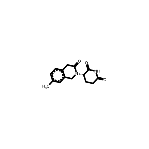 Cc1ccc2c(c1)CN([C@H]1CCC(=O)NC1=O)C(=O)C2